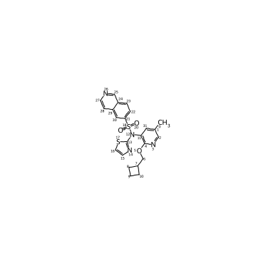 Cc1cnc(OCC2CCC2)c(N(c2nccs2)S(=O)(=O)c2ccc3cnccc3c2)c1